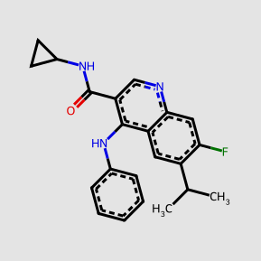 CC(C)c1cc2c(Nc3ccccc3)c(C(=O)NC3CC3)cnc2cc1F